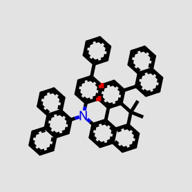 CC1(C)c2c(-c3cccc4ccccc34)cccc2-c2c(N(c3ccc(-c4ccccc4)cc3)c3cc4ccccc4c4ccccc34)ccc3cccc1c23